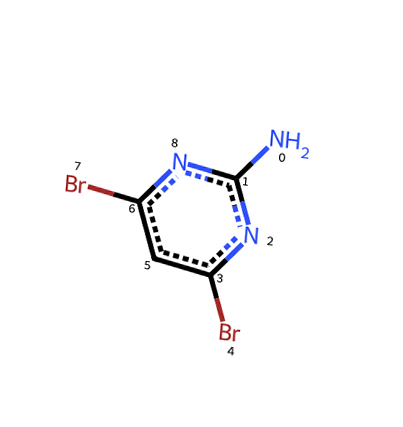 Nc1nc(Br)cc(Br)n1